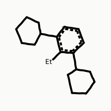 CCc1c(C2CCCCC2)[c]ccc1C1CCCCC1